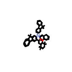 CC1(C)CCC(C)(C)c2cc(-c3cc4c(cc3N(c3ccc5c(c3)CCCC5)c3ccc5c(c3)C(C)(C)c3ccccc3-5)C(C)(C)c3ccccc3-4)ccc21